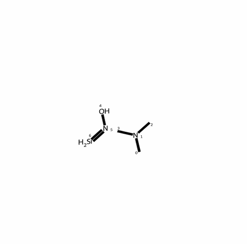 CN(C)C.ON=[SiH2]